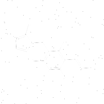 C/N=C/c1c(C)cc(C)c(Cn2ccnc2C)c1C